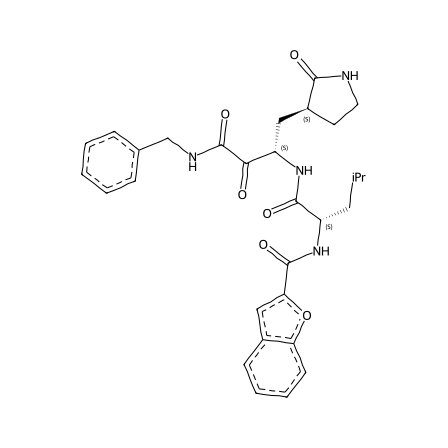 CC(C)C[C@H](NC(=O)c1cc2ccccc2o1)C(=O)N[C@@H](C[C@@H]1CCNC1=O)C(=O)C(=O)NCc1ccccc1